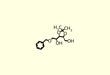 CC1(C)O[C@H]([C@@H](O)COCc2ccccc2)[C@H](CO)O1